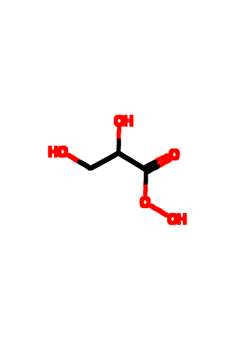 O=C(OO)C(O)CO